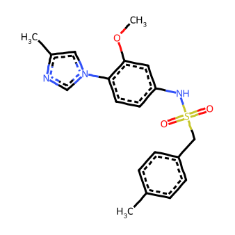 COc1cc(NS(=O)(=O)Cc2ccc(C)cc2)ccc1-n1cnc(C)c1